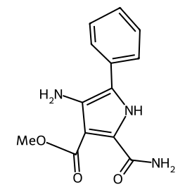 COC(=O)c1c(C(N)=O)[nH]c(-c2ccccc2)c1N